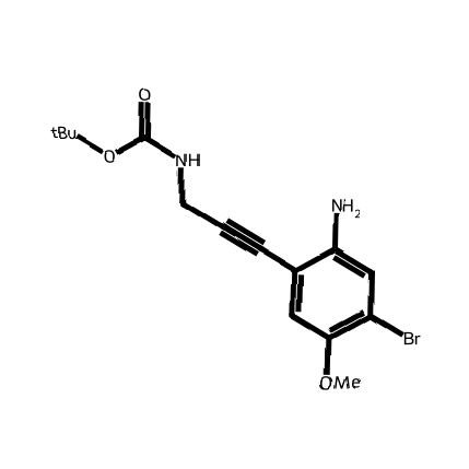 COc1cc(C#CCNC(=O)OC(C)(C)C)c(N)cc1Br